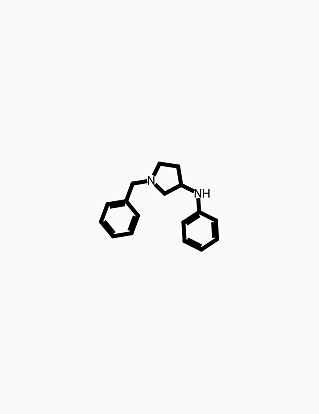 c1ccc(CN2CCC(Nc3ccccc3)C2)cc1